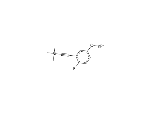 CCCOc1ccc(F)c(C#C[Si](C)(C)C)c1